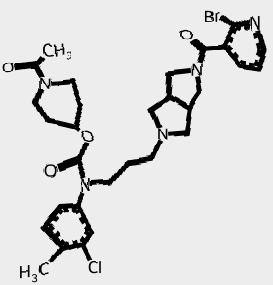 CC(=O)N1CCC(OC(=O)N(CCCN2CC3CN(C(=O)c4cccnc4Br)CC3C2)c2ccc(C)c(Cl)c2)CC1